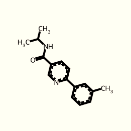 Cc1cccc(-c2ccc(C(=O)NC(C)C)cn2)c1